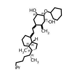 C=C1C(=CC=C2CCC[C@]3(C)[C@@H]([C@H](C)CCCC(C)C)CC[C@@H]23)C[C@@H](O)[C@@H](OC2CCCCC2)[C@@H]1O